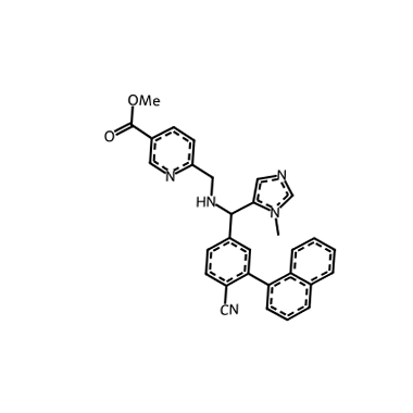 COC(=O)c1ccc(CNC(c2ccc(C#N)c(-c3cccc4ccccc34)c2)c2cncn2C)nc1